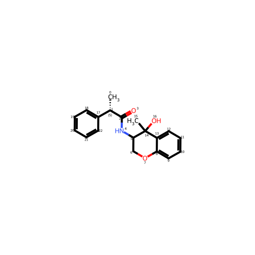 C[C@H](C(=O)NC1COc2ccccc2C1(C)O)c1ccccc1